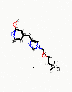 COc1cc(Cc2cn(COCC[Si](C)(C)C)cn2)ccn1